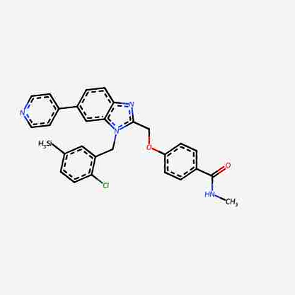 CNC(=O)c1ccc(OCc2nc3ccc(-c4ccncc4)cc3n2Cc2cc([SiH3])ccc2Cl)cc1